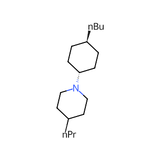 CCCC[C@H]1CC[C@H](N2CCC(CCC)CC2)CC1